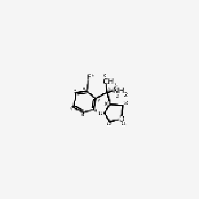 CC(N)(c1ccccc1F)C1CCOC1